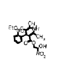 CCOC(=O)C1=C(C)NC(C)=C(C(=O)OCC(O)[N+](=O)[O-])C1c1ccccc1[N+](=O)[O-]